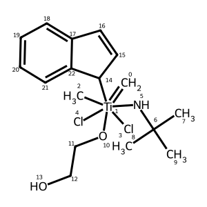 [CH2]=[Ti]([CH3])([Cl])([Cl])([NH]C(C)(C)C)([O]CCO)[CH]1C=Cc2ccccc21